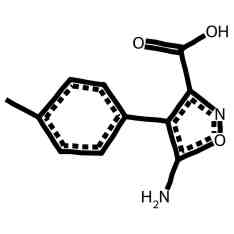 Cc1ccc(-c2c(C(=O)O)noc2N)cc1